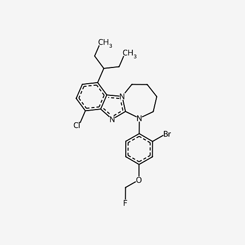 CCC(CC)c1ccc(Cl)c2nc3n(c12)CCCCN3c1ccc(OCF)cc1Br